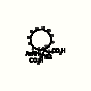 CCC(NC(C)=O)(C(=O)O)C1(CC(=O)O)CCCCCCCCCCC1